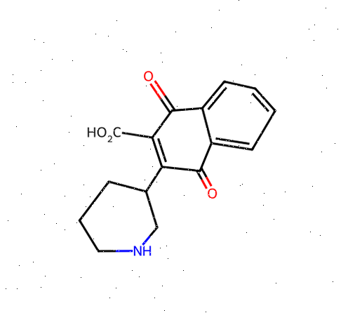 O=C(O)C1=C(C2CCCNC2)C(=O)c2ccccc2C1=O